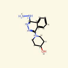 NNc1nnc(N2CCC(O)CC2)c2ccccc12